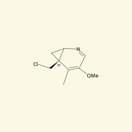 COC1=C(C)[C@]2(CCl)CC2N=C1